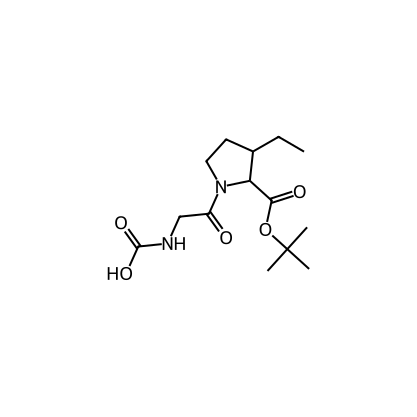 CCC1CCN(C(=O)CNC(=O)O)C1C(=O)OC(C)(C)C